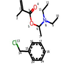 C=C(C)C(=O)OC(C)N(CC)CC.ClCc1ccccc1